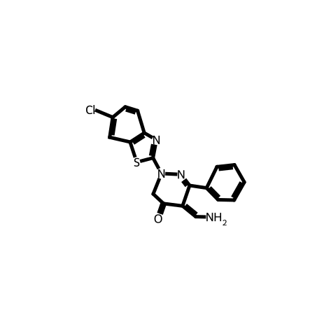 N/C=C1/C(=O)CN(c2nc3ccc(Cl)cc3s2)N=C1c1ccccc1